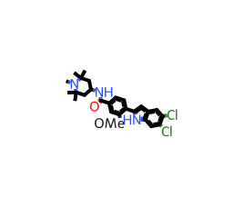 COc1cc(C(=O)NC2CC(C)(C)N(C)C(C)(C)C2)ccc1-c1cc2cc(Cl)c(Cl)cc2[nH]1